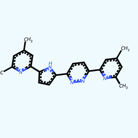 Cc1cc(C)nc(-c2ccc(-c3ccc(-c4cc(C)cc(C)n4)[nH]3)nn2)c1